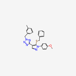 COc1ccc(-n2ncc(-c3nnn(Cc4cccc(C)c4)n3)c2SCc2ccccc2)cc1